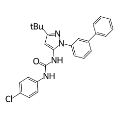 CC(C)(C)c1cc(NC(=O)Nc2ccc(Cl)cc2)n(-c2cccc(-c3ccccc3)c2)n1